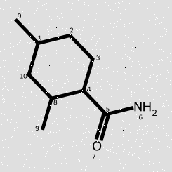 CC1CCC(C(N)=O)C(C)C1